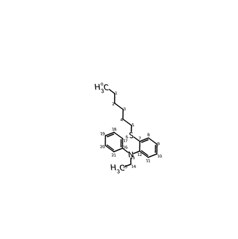 CCCCCCSc1ccccc1N(CC)c1ccccc1